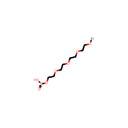 CCOCCOCCOCCOCC[O][Ti](=[O])[OH]